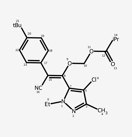 CCn1nc(C)c(Cl)c1/C(OCOC(=O)C(C)C)=C(\C#N)c1ccc(C(C)(C)C)cc1